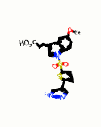 CCOc1ccc2c(c1)c(CCC(=O)O)cn2S(=O)(=O)c1ccc(-c2cn[nH]c2)s1